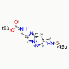 CC(C)(C)OC(=O)NCc1cn2ncc(CNSC(C)(C)C)cc2n1